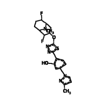 Cc1ccn(-c2ccc(-c3nnc(OC4CC5C(F)CCC(C4F)N5C)s3)c(O)c2)n1